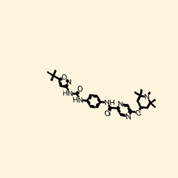 CN1C(C)(C)CC(Oc2cnc(C(=O)Nc3ccc(NC(=O)Nc4cc(C(C)(C)C)on4)cc3)cn2)CC1(C)C